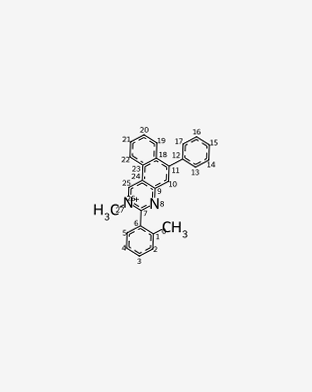 Cc1ccccc1-c1nc2cc(-c3ccccc3)c3ccccc3c2c[n+]1C